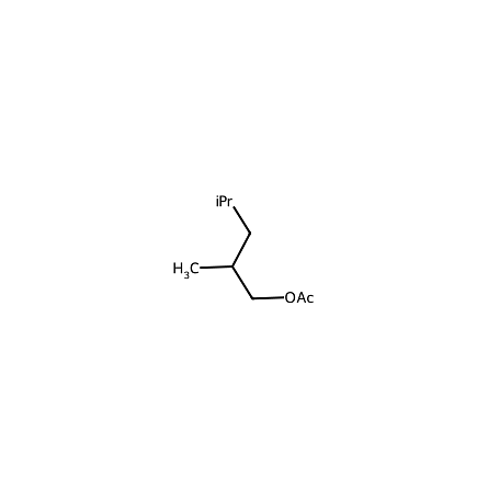 CC(=O)OCC(C)CC(C)C